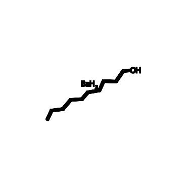 CCCCCCCCCCO.[BaH2]